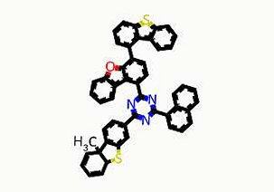 CC12C=CC=CC1Sc1cc(-c3nc(-c4cccc5ccccc45)nc(-c4ccc(-c5cccc6sc7ccccc7c56)c5oc6ccccc6c45)n3)ccc12